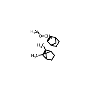 C1=CC2CCC1C2.CC1=C(C)C2CCC1C2.CO[SiH3]